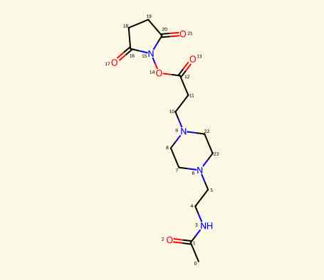 CC(=O)NCCN1CCN(CCC(=O)ON2C(=O)CCC2=O)CC1